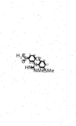 CNC(=N)N(c1cccc([S+](C)[O-])c1)c1cc(SC)ccc1Cl